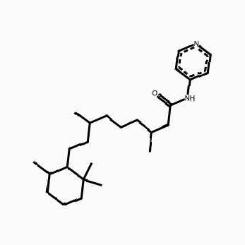 CC(CCCC(C)CC(=O)Nc1ccncc1)CCC1C(C)CCCC1(C)C